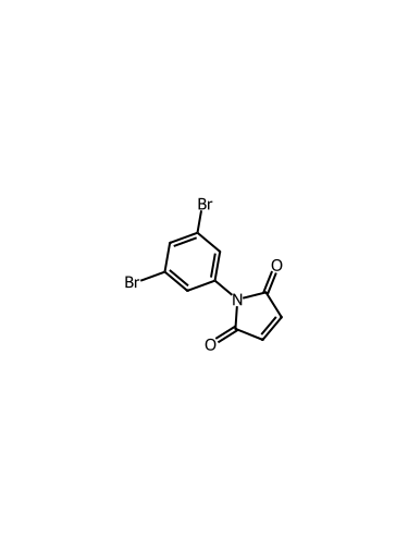 O=C1C=CC(=O)N1c1cc(Br)cc(Br)c1